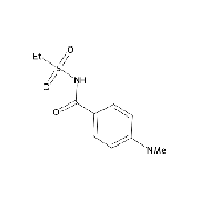 CCS(=O)(=O)NC(=O)c1ccc(NC)cc1